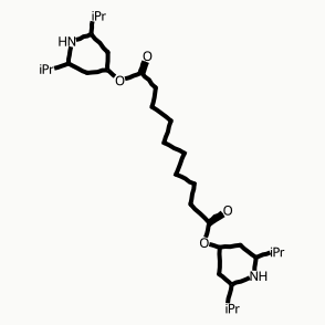 CC(C)C1CC(OC(=O)CCCCCCCCC(=O)OC2CC(C(C)C)NC(C(C)C)C2)CC(C(C)C)N1